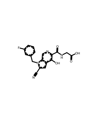 N#Cc1cc2c(O)c(C(=O)NCC(=O)O)ncc2n1Cc1cccc(F)c1